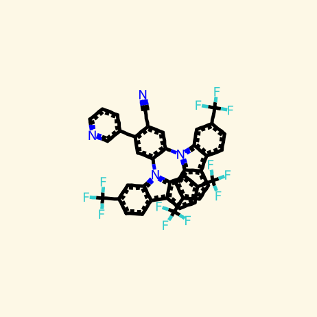 N#Cc1cc(-n2c3cc(C(F)(F)F)ccc3c3ccc(C(F)(F)F)cc32)c(-n2c3cc(C(F)(F)F)ccc3c3ccc(C(F)(F)F)cc32)cc1-c1cccnc1